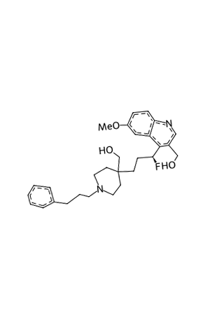 COc1ccc2ncc(CO)c([C@@H](F)CCC3(CO)CCN(CCCc4ccccc4)CC3)c2c1